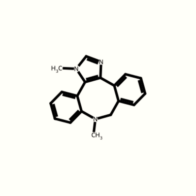 CN1Cc2ccccc2-c2ncn(C)c2-c2ccccc21